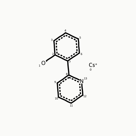 [Cs+].[O-]c1ccccc1-c1ccccn1